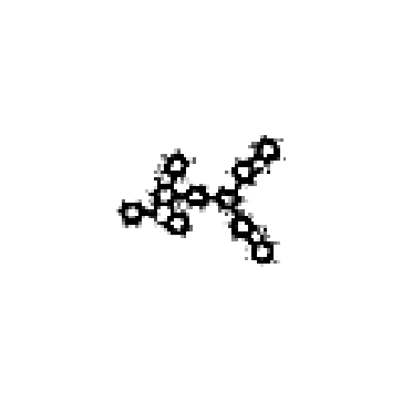 c1ccc(-c2nc3ccccc3c3c(-c4ccc(-c5cc(-c6ccc7c(c6)oc6ccccc67)cc(-c6ccc7c(c6)oc6ccccc67)c5)cc4)c4c(cc23)oc2ccccc24)cc1